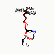 C=C[Si]12OCCN(CC(COCCC[Si](OC)(OC)OC)O1)CC(COCCC[Si](OC)(OC)OC)O2